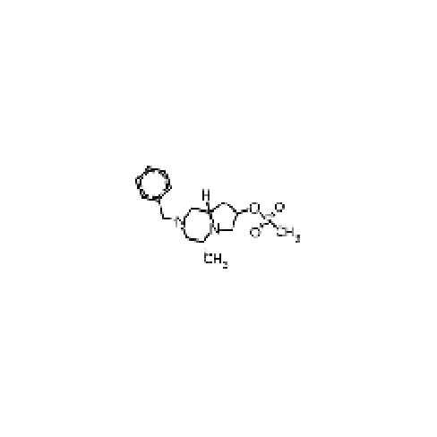 C[C@@H]1CN(Cc2ccccc2)C[C@@H]2CC(OS(C)(=O)=O)CN21